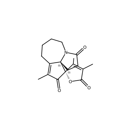 CC1=C(C)[C@@]2(OC1=O)C(=O)C(C)=C1CCCCN3C(=O)CC[C@@]132